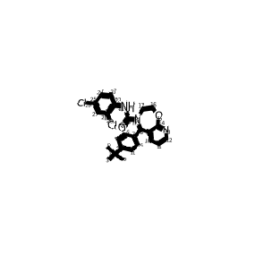 CC(C)(C)c1ccc(C2c3cccnc3OCCN2C(=O)Nc2ccc(Cl)cc2Cl)cc1